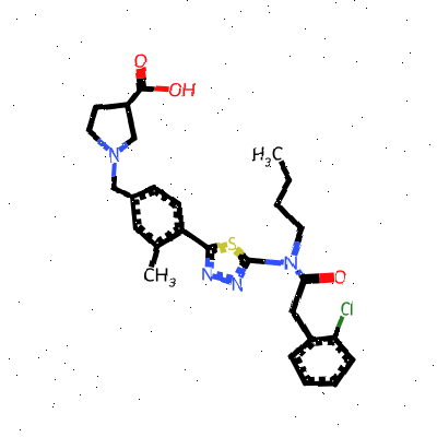 CCCCN(C(=O)Cc1ccccc1Cl)c1nnc(-c2ccc(CN3CCC(C(=O)O)C3)cc2C)s1